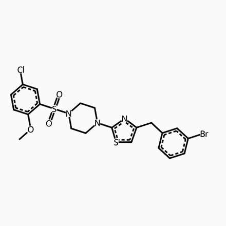 COc1ccc(Cl)cc1S(=O)(=O)N1CCN(c2nc(Cc3cccc(Br)c3)cs2)CC1